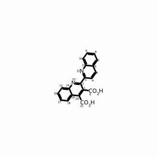 O=C(O)c1c(-c2ccc3ccccc3n2)nc2ccccc2c1C(=O)O